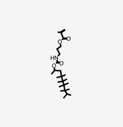 C=C(C)C(=O)OCCCNC(=O)OC(C)CC(C)(C)C(C)(C)C(C)(C)C(C)(C)C(C)C